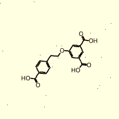 O=C(O)c1ccc(CCOc2cc(C(=O)O)cc(C(=O)O)c2)cc1